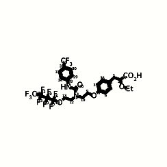 CCOC(Cc1ccc(OCCN(CCOC(F)(F)C(F)(F)C(F)(F)C(F)(F)F)C(=O)Nc2ccc(C(F)(F)F)cc2)cc1)C(=O)O